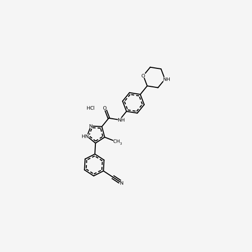 Cc1c(C(=O)Nc2ccc(C3CNCCO3)cc2)n[nH]c1-c1cccc(C#N)c1.Cl